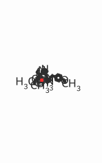 COc1ccc(Cn2ncc([N+](=O)[O-])c2-c2cnn3c2N(C(=O)OC(C)(C)C)CC3)cc1